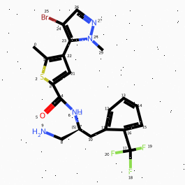 Cc1sc(C(=O)N[C@H](CN)Cc2ccccc2C(F)(F)F)cc1-c1c(Br)cnn1C